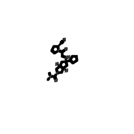 CN(C)C(=O)N1C[C@@H]2C[C@@](NCC(=O)N3CCC[C@H]3C#N)(C3CCCC3)C[C@@H]2C1